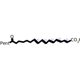 CCCCCC(=O)CCCCC/C=C/C=C/C=C/C=C/C=C/C(=O)O